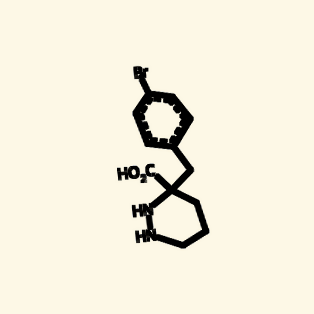 O=C(O)C1(Cc2ccc(Br)cc2)CCCNN1